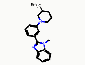 CCOC(=O)[C@H]1CCCN(c2cccc(-c3nc4ccccc4n3C)c2)C1